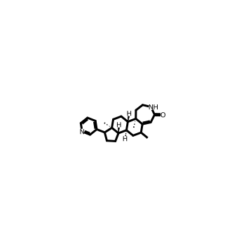 CC1C[C@@H]2[C@H](CC[C@]3(C)C(c4cccnc4)CC[C@@H]23)[C@@]2(C)CCNC(=O)C=C12